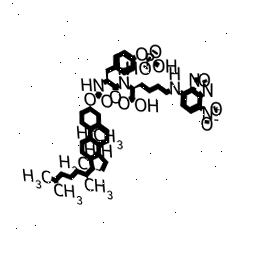 CC(C)CCC[C@@H](C)[C@H]1CC[C@H]2[C@@H]3CC=C4C[C@@H](OC(=O)N[C@@H](Cc5ccc(OP(=O)(O)O)cc5)C(=O)N[C@@H](CCCCNc5ccc([N+](=O)[O-])c6nonc56)C(=O)O)CC[C@]4(C)[C@H]3CC[C@]12C